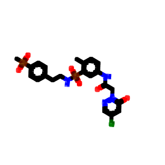 Cc1ccc(NC(=O)Cn2ncc(Cl)cc2=O)cc1S(=O)(=O)NCCc1ccc(S(C)(=O)=O)cc1